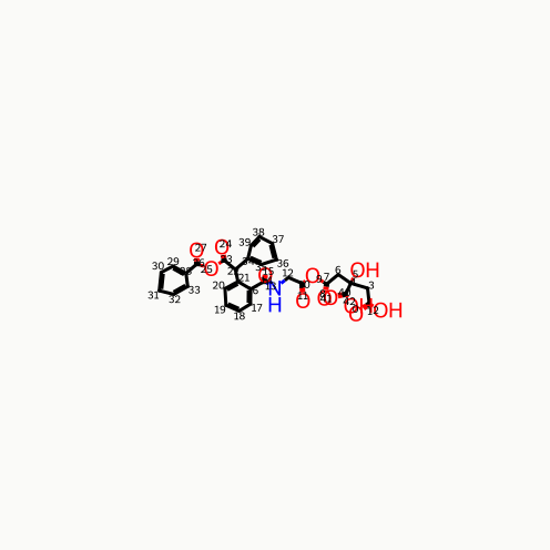 O=C(O)CC(O)(CC(=O)OC(=O)CNC(=O)c1ccccc1C(C(=O)OC(=O)c1ccccc1)c1ccccc1)C(=O)O